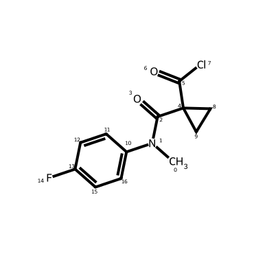 CN(C(=O)C1(C(=O)Cl)CC1)c1ccc(F)cc1